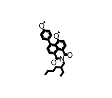 CCCCC(CC)CN1C(=O)c2ccc(OC)c3c(-c4ccc(OC)cc4)ccc(c23)C1=O